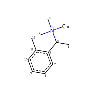 [CH2-][N+](C)(C)C(C)c1ccccc1C